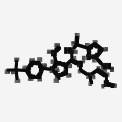 C=N/C=C\N(C)C/N=C(/NC(=C)c1ccc(N)s1)c1cnn(-c2ccc(C(C)(C)C)cc2)c1N=C